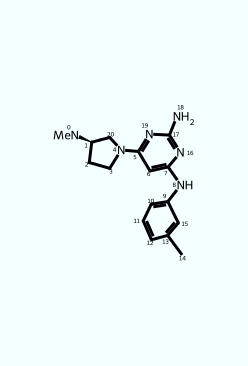 CN[C@@H]1CCN(c2cc(Nc3cccc(C)c3)nc(N)n2)C1